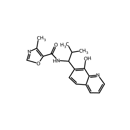 Cc1ncoc1C(=O)NC(c1ccc2cccnc2c1O)C(C)C